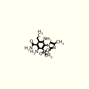 CCc1c(N)c(-n2cc(C)nc2C)c(S(C)(=O)=O)c(N)c1C(N)=O